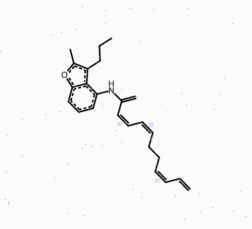 C=C/C=C\CC/C=C\C=C/C(=C)Nc1cccc2oc(C)c(CCC)c12